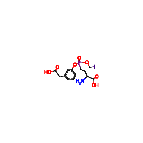 N[C@@H](CCP(=O)(OCI)Oc1cccc(CC(=O)O)c1)C(=O)O